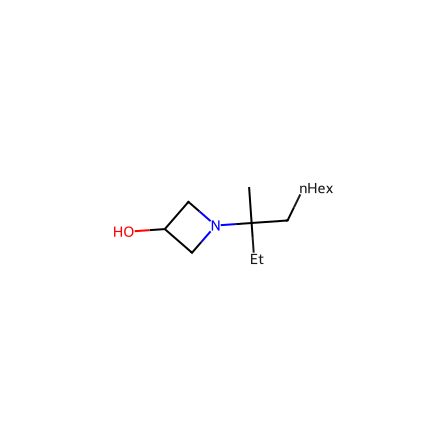 CCCCCCCC(C)(CC)N1CC(O)C1